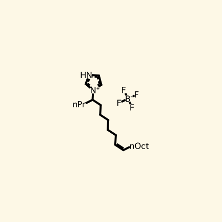 CCCCCCCC/C=C\CCCCCC(CCC)[n+]1cc[nH]c1.F[B-](F)(F)F